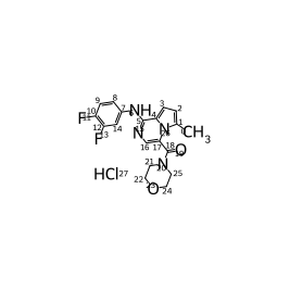 Cc1ccc2c(Nc3ccc(F)c(F)c3)ncc(C(=O)N3CCOCC3)n12.Cl